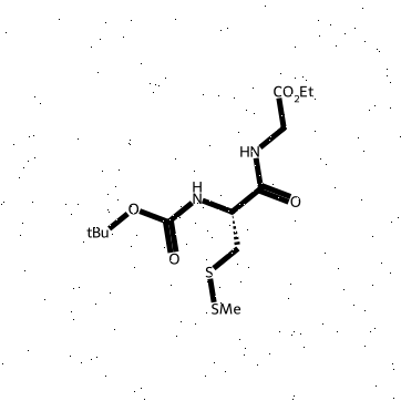 CCOC(=O)CNC(=O)[C@H](CSSC)NC(=O)OC(C)(C)C